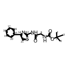 CC(C)(C)OC(=O)NCC(=O)Nc1nc(-c2ccccc2)cs1